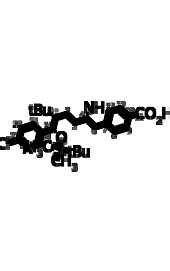 CC(C)(C)[C@H](CC[C@H](N)Cc1ccc(C(=O)O)cc1)[C@H](O[Si](C)(C)C(C)(C)C)c1ccc(Cl)nc1